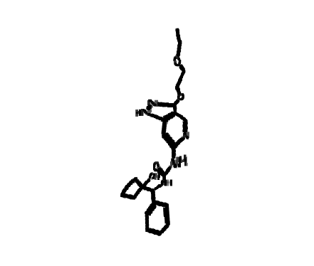 CCOCCOc1n[nH]c2cc(NC(=O)N[C@@H](c3ccccc3)C3(O)CCC3)ncc12